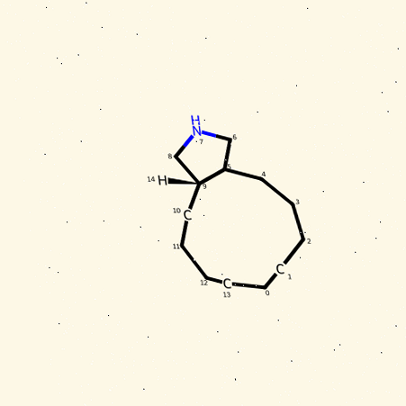 C1CCCCC2CNC[C@H]2CCCC1